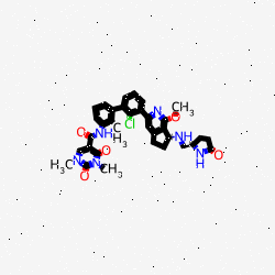 COc1nc(-c2cccc(-c3cccc(NC(=O)c4cn(C)c(=O)n(C)c4=O)c3C)c2Cl)cc2c1[C@H](NC[C@H]1CCC(=O)N1)CC2